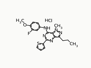 CCCc1nn(C)c2c(Nc3ccc(OC)c(F)c3)nc(-c3cccs3)nc12.Cl